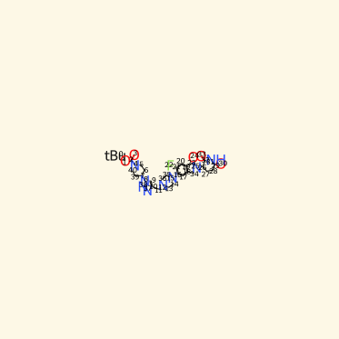 CC(C)(C)OC(=O)N1CCC(n2cc(CN3CCN(c4cc5c(cc4F)C(=O)N(C4CCC(=O)NC4=O)C5)CC3)nn2)CC1